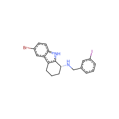 Brc1ccc2[nH]c3c(c2c1)CCC[C@H]3NCc1cccc(I)c1